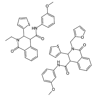 CCN1C(=O)c2ccccc2C(C(=O)Nc2cccc(OC)c2)C1c1cccs1.COc1cccc(NC(=O)C2c3ccccc3C(=O)N(Cc3ccco3)C2c2cccs2)c1